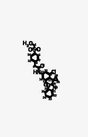 CCS(=O)(=O)c1ccc(CC(=O)Nc2cc(Cl)c(C3(c4nc5ccccc5o4)CC3)c(Cl)c2)cc1